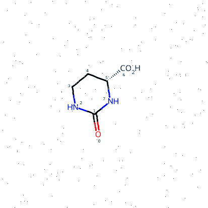 O=C1NCC[C@H](C(=O)O)N1